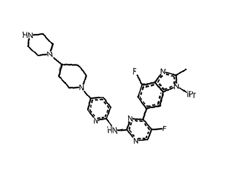 Cc1nc2c(F)cc(-c3nc(Nc4ccc(N5CCC(N6CCNCC6)CC5)cn4)ncc3F)cc2n1C(C)C